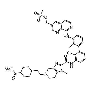 COC(=O)C1CCC(CCN2CCc3c(nc(C(=O)Nc4cccc(-c5cccc(Nc6nccc7cc(COS(C)(=O)=O)cnc67)c5C)c4Cl)n3C)C2)CC1